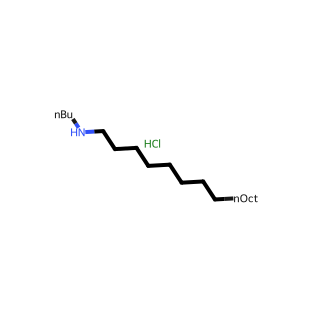 CCCCCCCCCCCCCCCCNCCCC.Cl